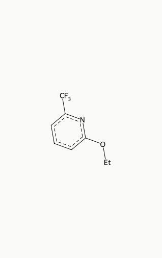 CCOc1cccc(C(F)(F)F)n1